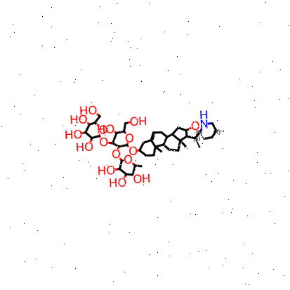 CC1OC(OC2C(OC3CCC4(C)C(=CCC5C4CCC4(C)C5CC5O[C@]6(CC[C@@H](C)CN6)[C@@H](C)C54)C3)OC(CO)C(O)C2OC2OC(CO)C(O)C(O)C2O)C(O)C(O)C1O